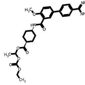 CCOC(=O)OC(C)OC(=O)[C@H]1CC[C@H](NC(=O)c2cc(-c3ccc(C(=N)N)cc3)ccc2OC)CC1